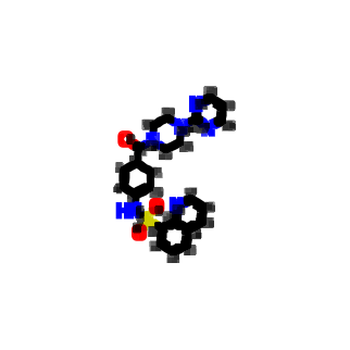 O=C(C1C=CC(NS(=O)(=O)c2cccc3cccnc23)=CC1)N1CCN(c2ncccn2)CC1